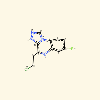 Fc1ccc2c(c1)nc(CCCl)c1nncn12